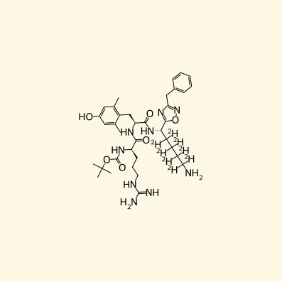 [2H]C([2H])(N)C([2H])([2H])C([2H])([2H])C([2H])([2H])[C@H](NC(=O)[C@H](Cc1c(C)cc(O)cc1C)NC(=O)[C@@H](CCCNC(=N)N)NC(=O)OC(C)(C)C)c1nc(Cc2ccccc2)no1